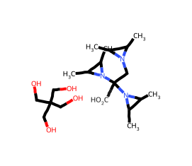 CC1C(C)N1CC(C(=O)O)(N1C(C)C1C)N1C(C)C1C.OCC(CO)(CO)CO